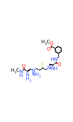 CNC(=O)/C(N)=C/N(N)CCC(F)Cn1cc(C(=O)NCc2cccc(C(=O)OC)c2)[nH]1